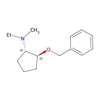 CCN(C)[C@H]1CCC[C@@H]1OCc1ccccc1